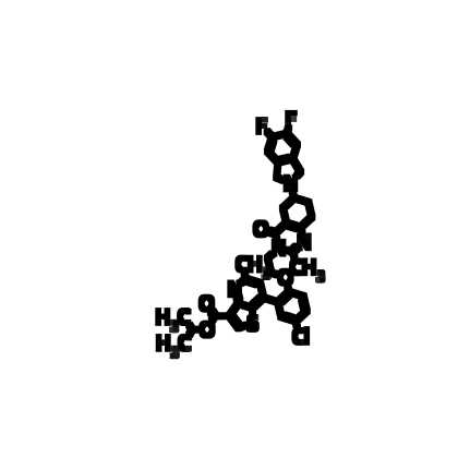 Cc1cc(-c2cc(Cl)ccc2OCCn2c(C)nc3c(c2=O)CC(N2Cc4cc(F)c(F)cc4C2)CC3)c2scc(C(=O)OC(C)C)c2n1